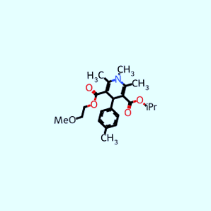 COCCOC(=O)C1=C(C)N(C)C(C)=C(C(=O)OC(C)C)C1c1ccc(C)cc1